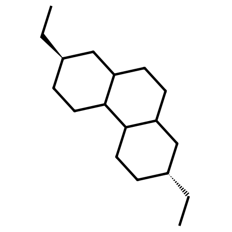 CC[C@@H]1CCC2C(CCC3C[C@H](CC)CCC32)C1